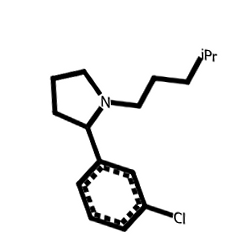 CC(C)CCCN1CCCC1c1cccc(Cl)c1